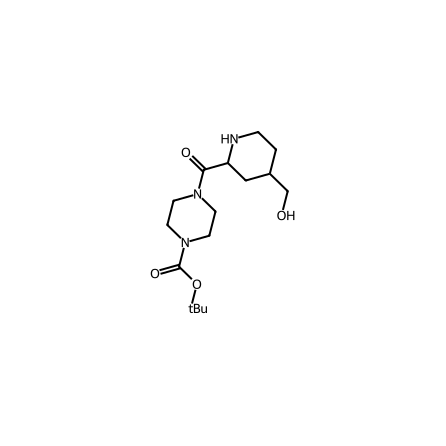 CC(C)(C)OC(=O)N1CCN(C(=O)C2CC(CO)CCN2)CC1